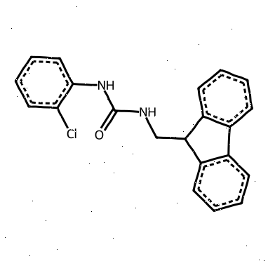 O=C(NCC1c2ccccc2-c2ccccc21)Nc1ccccc1Cl